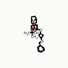 CC(C)(C)OC(=O)N1CC2CCC(C1)N2c1ccnc(OC2CC(OCc3ccccc3)C2)c1